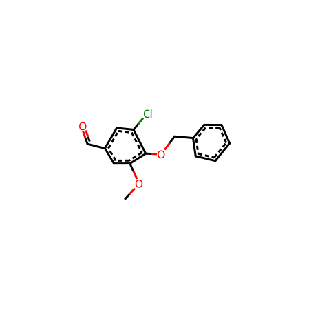 COc1cc(C=O)cc(Cl)c1OCc1ccccc1